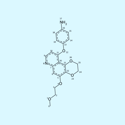 COCCOc1cc2nccc(Oc3ccc(N)cc3)c2c2c1OCCO2